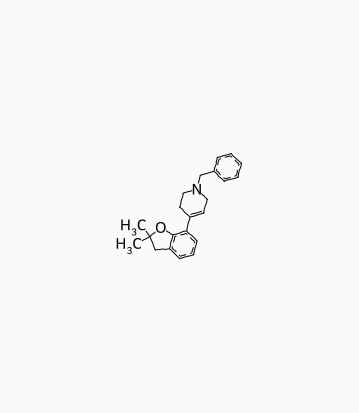 CC1(C)Cc2cccc(C3=CCN(Cc4ccccc4)CC3)c2O1